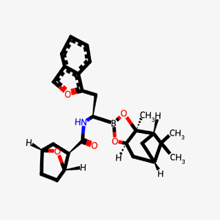 CC1(C)[C@@H]2C[C@H]3OB([C@H](Cc4occ5ccccc45)NC(=O)[C@@H]4C[C@H]5CC[C@@H]4O5)O[C@@]3(C)[C@H]1C2